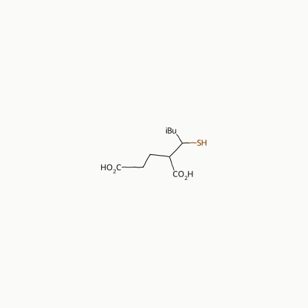 CCC(C)C(S)C(CCC(=O)O)C(=O)O